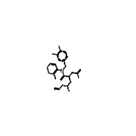 C=CCC(C)CC(CC(=C)C)C(=C)N(Cc1ccc(C)c(C)c1)C1=C(C)CCC=C1